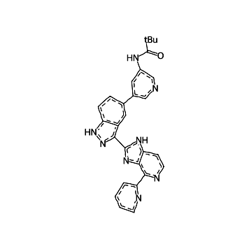 CC(C)(C)C(=O)Nc1cncc(-c2ccc3[nH]nc(-c4nc5c(-c6ccccn6)nccc5[nH]4)c3c2)c1